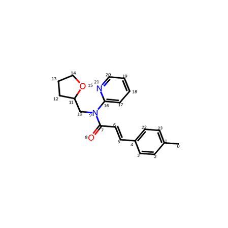 Cc1ccc(C=CC(=O)N(CC2CCCO2)c2ccccn2)cc1